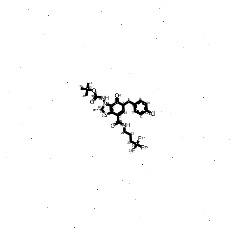 C[C@H]1SC2=C(C(=O)C(Cc3ccc(Cl)cc3)C=C2C(=O)NCCCC(F)(F)F)N1NC(=O)OC(C)(C)C